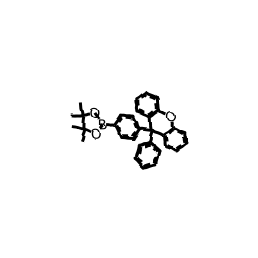 CC1(C)OB(c2ccc(C3(c4ccccc4)c4ccccc4Oc4ccccc43)cc2)OC1(C)C